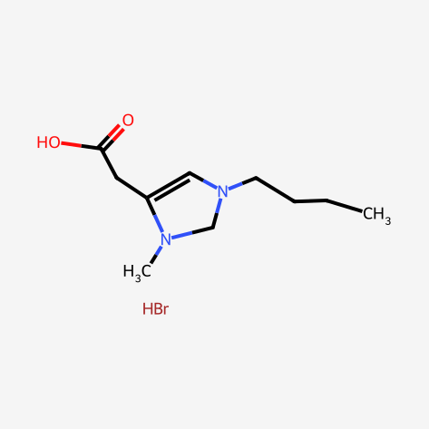 Br.CCCCN1C=C(CC(=O)O)N(C)C1